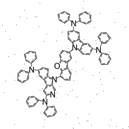 c1ccc(N(c2ccccc2)c2ccc3c(c2)c2cc(N(c4ccccc4)c4ccccc4)ccc2n3-c2ccc3oc4c(-n5c6ccc(N(c7ccccc7)c7ccccc7)cc6c6cc(N(c7ccccc7)c7ccccc7)ncc65)cccc4c3c2)cc1